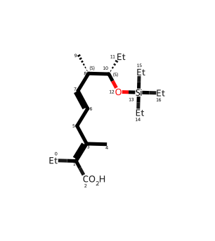 CCC(C(=O)O)=C(C)CC=C[C@H](C)[C@H](CC)O[Si](CC)(CC)CC